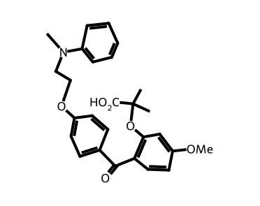 COc1ccc(C(=O)c2ccc(OCCN(C)c3ccccc3)cc2)c(OC(C)(C)C(=O)O)c1